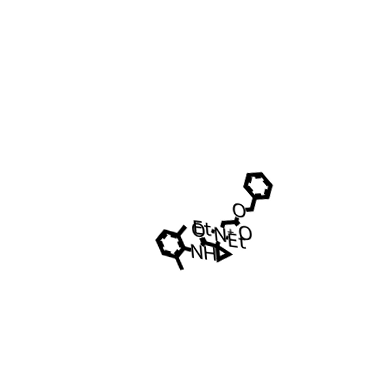 CC[N+](CC)(CC(=O)OCc1ccccc1)C1(C(=O)Nc2c(C)cccc2C)CC1